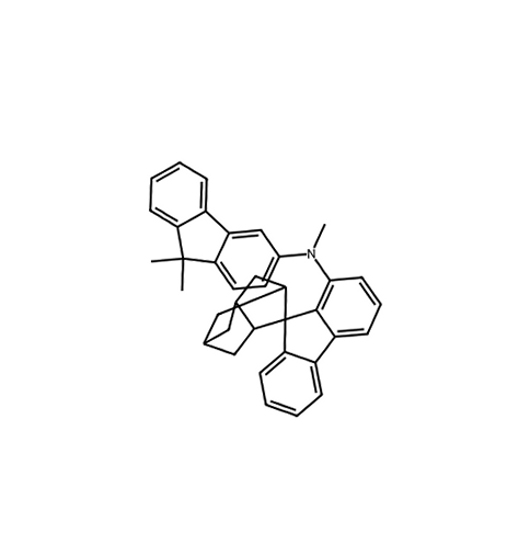 CN(c1ccc2c(c1)-c1ccccc1C2(C)C)c1cccc2c1C1(c3ccccc3-2)C2CC3CC(C2)C1C3